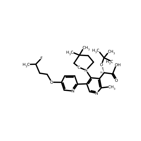 Cc1ncc(-c2ccc(OCCC(C)F)cn2)c(N2CCC(C)(C)CC2)c1[C@H](OC(C)(C)C)C(=O)O